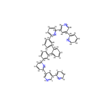 c1ccc(-c2cncc(-c3cccc(-c4cccc(-c5ccccc5-c5cccc(-c6cccc(-c7cncc(-c8ccccn8)c7)n6)c5)c4)n3)c2)nc1